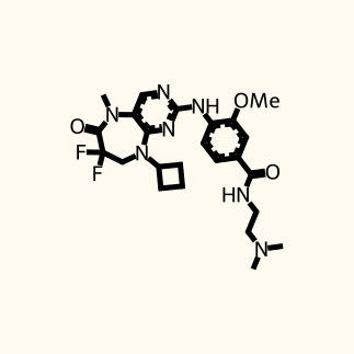 COc1cc(C(=O)NCCN(C)C)ccc1Nc1ncc2c(n1)N(C1CCC1)CC(F)(F)C(=O)N2C